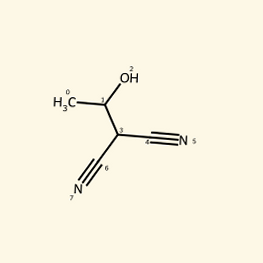 CC(O)C(C#N)C#N